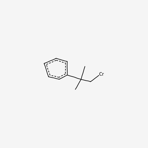 CC(C)([CH2][Cr])c1ccccc1